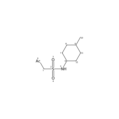 CC(=O)CS(=O)(=O)NC1CCC(C)CC1